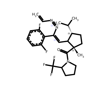 C=C/N=N\C(=C/C1[C@H](C(C)C)CC[C@]1(C)C(=O)N1CCCC1C(F)(F)F)c1c(F)cccc1F